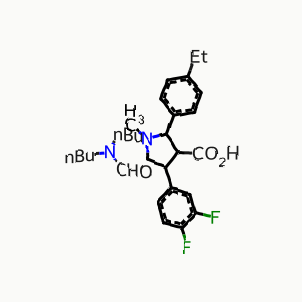 CCCCN(C=O)CCCC.CCc1ccc(C2C(C(=O)O)C(c3ccc(F)c(F)c3)CN2C)cc1